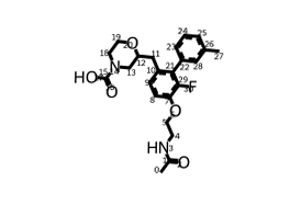 CC(=O)NCCOc1ccc(CC2CN(C(=O)O)CCO2)c(-c2cccc(C)c2)c1F